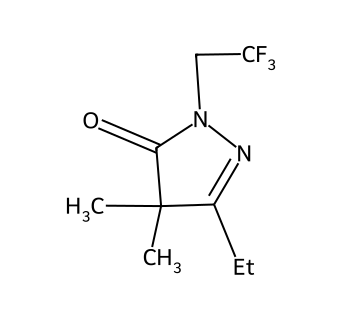 CCC1=NN(CC(F)(F)F)C(=O)C1(C)C